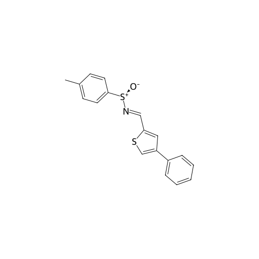 Cc1ccc([S@@+]([O-])N=Cc2cc(-c3ccccc3)cs2)cc1